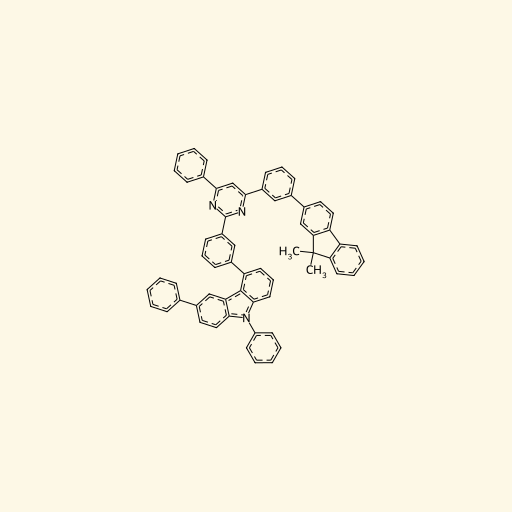 CC1(C)c2ccccc2-c2ccc(-c3cccc(-c4cc(-c5ccccc5)nc(-c5cccc(-c6cccc7c6c6cc(-c8ccccc8)ccc6n7-c6ccccc6)c5)n4)c3)cc21